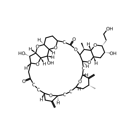 C=C1C[C@@H]2CCC(=O)C[C@H]3O[C@H]4[C@@H](O)[C@H]5OC(CC[C@@H]5O[C@H]4[C@H]3O)CC(=O)OC3[C@H](C[C@H]4O[C@@H](CC[C@@H]1O2)C[C@@H](C)C4=C)O[C@H]1C[C@@H](O)[C@@H](CCO)O[C@H]1[C@@H]3C